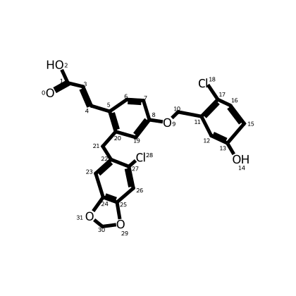 O=C(O)/C=C/c1ccc(OCc2cc(O)ccc2Cl)cc1Cc1cc2c(cc1Cl)OCO2